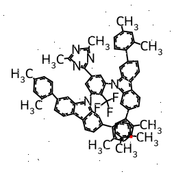 Cc1ccc(-c2ccc3c4ccc(-c5ccc(C)cc5C)cc4n(-c4cc(-c5nc(C)nc(C)n5)cc(-n5c6cc(-c7ccc(C)cc7C)ccc6c6ccc(-c7ccc(C)cc7C)cc65)c4C(F)(F)F)c3c2)c(C)c1